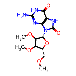 COC[C@H]1O[C@@H](n2c(=O)[nH]c3c(=O)[nH]c(N)nc32)C(OC)C1OC